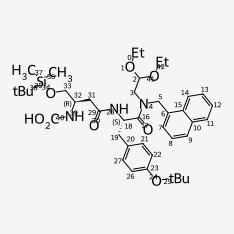 CCOC(CN(Cc1cccc2ccccc12)C(=O)[C@H](Cc1ccc(OC(C)(C)C)cc1)NC(=O)C[C@H](CO[Si](C)(C)C(C)(C)C)NC(=O)O)OCC